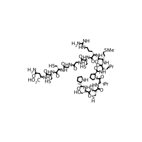 CSCC[C@H](NC(=O)[C@H](CC(C)C)NC(=O)[C@@H]1CCCN1C(=O)[C@@H](NC(=O)[C@H](CS)NC(=O)[C@H](CO)NC(=O)[C@@H]1CCCN1)C(C)C)C(=O)N[C@@H](CCCNC(=N)N)C(=O)N[C@@H](CS)C(=O)NCC(=O)NCC(=O)N[C@@H](CS)C(=O)N[C@@H](CS)C(=O)N[C@@H](CC(N)=O)C(=O)O